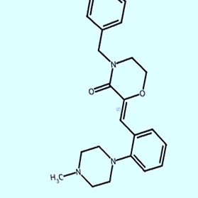 CN1CCN(c2ccccc2/C=C2\OCCN(Cc3ccccc3)C2=O)CC1